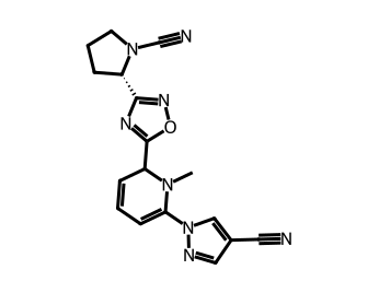 CN1C(n2cc(C#N)cn2)=CC=CC1c1nc([C@@H]2CCCN2C#N)no1